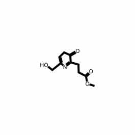 COC(=O)CCC1=NC(CO)=CCC1=O